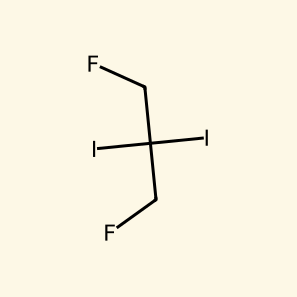 FCC(I)(I)CF